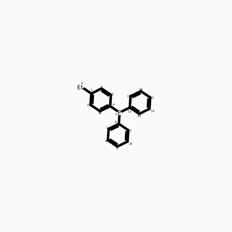 CCc1ccc(P(c2ccccc2)c2ccccc2)cc1